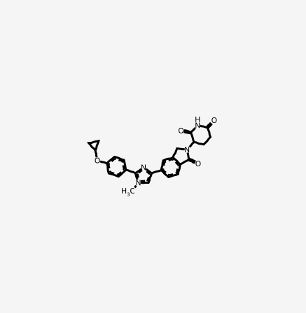 Cn1cc(-c2ccc3c(c2)CN(C2CCC(=O)NC2=O)C3=O)nc1-c1ccc(OC2CC2)cc1